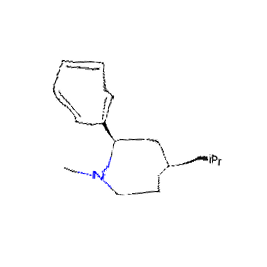 CC(C)[C@H]1CCN(C)[C@@H](c2ccccc2)C1